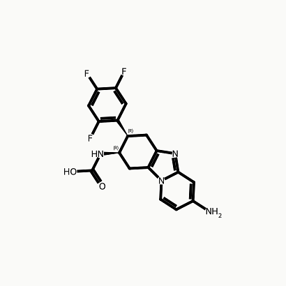 Nc1ccn2c3c(nc2c1)C[C@H](c1cc(F)c(F)cc1F)[C@H](NC(=O)O)C3